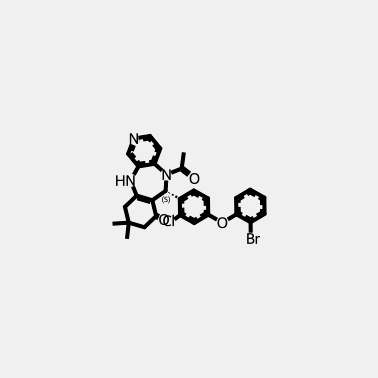 CC(=O)N1c2ccncc2NC2=C(C(=O)CC(C)(C)C2)[C@H]1c1ccc(Oc2ccccc2Br)cc1Cl